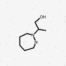 CC(CO)N1CCCCC[N]1